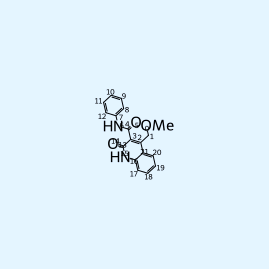 COCc1c(C(=O)Nc2ccccc2)c(=O)[nH]c2ccccc12